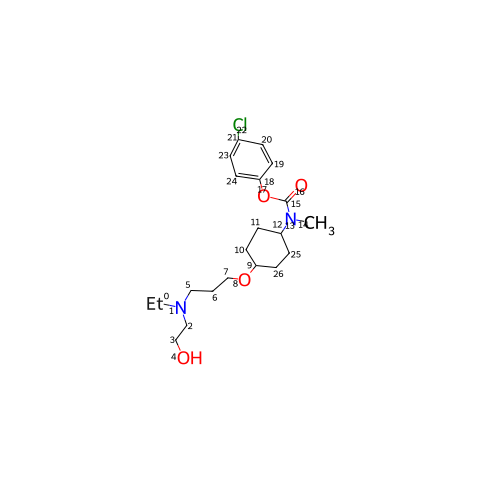 CCN(CCO)CCCOC1CCC(N(C)C(=O)Oc2ccc(Cl)cc2)CC1